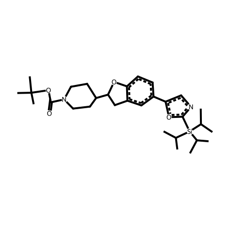 CC(C)[Si](c1ncc(-c2ccc3c(c2)CC(C2CCN(C(=O)OC(C)(C)C)CC2)O3)o1)(C(C)C)C(C)C